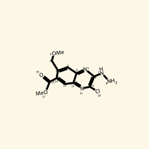 COCc1cc2nc(NN)c(Cl)nc2cc1C(=O)OC